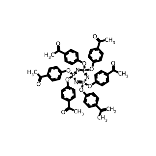 C=C(C)c1ccc(OP2(Oc3ccc(C(C)=O)cc3)=NP(Oc3ccc(C(C)=O)cc3)(Oc3ccc(C(C)=O)cc3)=NP(Oc3ccc(C(C)=O)cc3)(Oc3ccc(C(C)=O)cc3)=N2)cc1